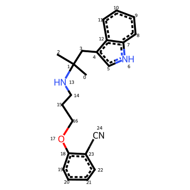 CC(C)(Cc1c[nH]c2ccccc12)NCCCOc1ccccc1C#N